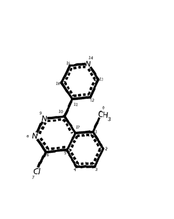 Cc1cccc2c(Cl)nnc(-c3ccncc3)c12